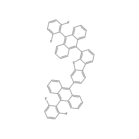 Fc1cccc(F)c1-c1c2ccccc2c(-c2ccc3c(c2)sc2c(-c4c5ccccc5c(-c5c(F)cccc5F)c5ccccc45)cccc23)c2ccccc12